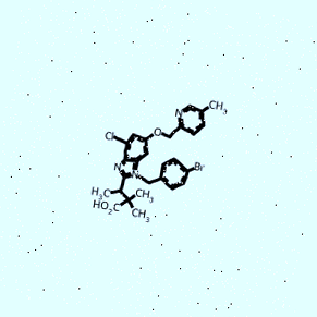 Cc1ccc(COc2cc(Cl)c3nc(C(C)C(C)(C)C(=O)O)n(Cc4ccc(Br)cc4)c3c2)nc1